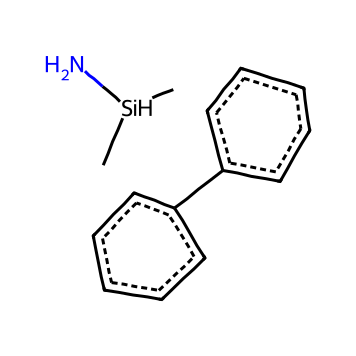 C[SiH](C)N.c1ccc(-c2ccccc2)cc1